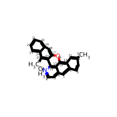 Cc1ccc2cc3cc[n+](C)c4c3c(c2c1)Oc1cc2ccccc2c(C)c1-4